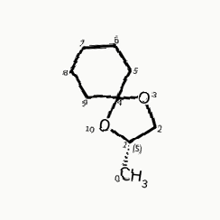 C[C@H]1COC2(CCCCC2)O1